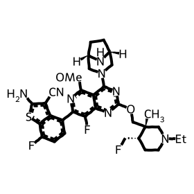 CCN1CC[C@H](CF)[C@](C)(COc2nc(N3C[C@H]4CC[C@@H](C3)N4)c3c(OC)nc(-c4ccc(F)c5sc(N)c(C#N)c45)c(F)c3n2)C1